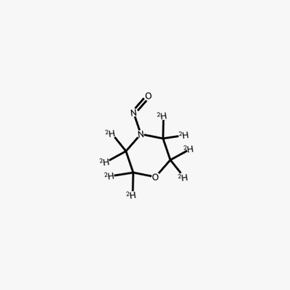 [2H]C1([2H])OC([2H])([2H])C([2H])([2H])N(N=O)C1([2H])[2H]